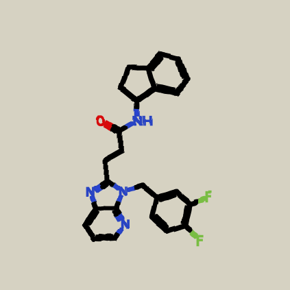 O=C(CCc1nc2cccnc2n1Cc1ccc(F)c(F)c1)NC1CCc2ccccc21